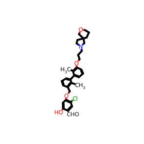 Cc1c(COc2cc(O)c(C=O)cc2Cl)cccc1-c1cccc(OCCCN2CCC3(CCCOC3)C2)c1C